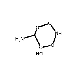 Cl.NC1OONOO1